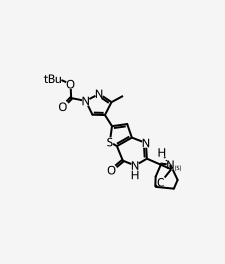 Cc1nn(C(=O)OC(C)(C)C)cc1-c1cc2nc([C@@H]3CC4CCN3CC4)[nH]c(=O)c2s1